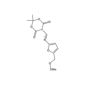 COOCc1ccc(/N=C/C2C(=O)OC(C)(C)OC2=O)o1